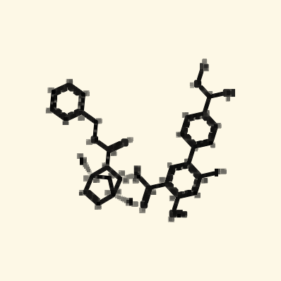 CCOC(O)c1ccc(-c2cc(C(=O)N[C@H]3C(C(=O)OCc4ccccc4)[C@@H]4C=C[C@H]3C4)c(OC)cc2F)cc1